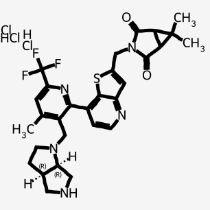 Cc1cc(C(F)(F)F)nc(-c2ccnc3cc(CN4C(=O)C5C(C4=O)C5(C)C)sc23)c1CN1CC[C@@H]2CNC[C@@H]21.Cl.Cl.Cl